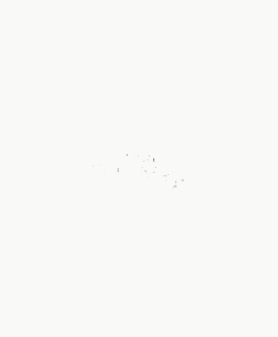 CC(C)(C)OC(=O)N1CNc2ncc(/C=C/C(=O)O)cc2C1